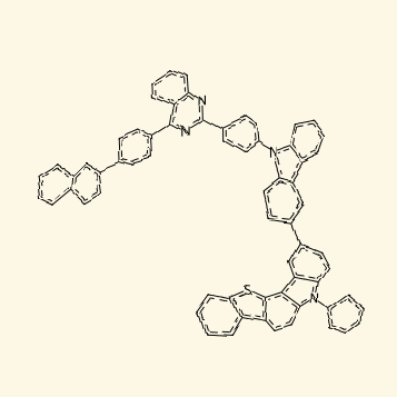 c1ccc(-n2c3ccc(-c4ccc5c(c4)c4ccccc4n5-c4ccc(-c5nc(-c6ccc(-c7ccc8ccccc8c7)cc6)c6ccccc6n5)cc4)cc3c3c4sc5ccccc5c4ccc32)cc1